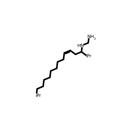 CC(C)CCCCCCCC/C=C\CC(NCN)C(C)C